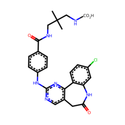 CC(C)(CNC(=O)O)CNC(=O)c1ccc(Nc2ncc3c(n2)-c2ccc(Cl)cc2NC(=O)C3)cc1